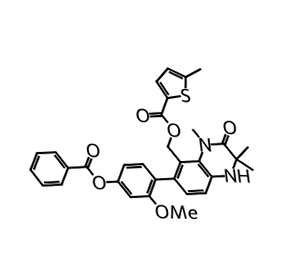 COc1cc(OC(=O)c2ccccc2)ccc1-c1ccc2c(c1COC(=O)c1ccc(C)s1)N(C)C(=O)C(C)(C)N2